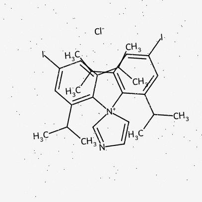 CC(C)c1cc(I)cc(C(C)C)c1[N+]1(c2c(C(C)C)cc(I)cc2C(C)C)C=CN=C1.[Cl-]